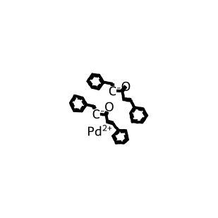 O=C([C-]=Cc1ccccc1)C=Cc1ccccc1.O=C([C-]=Cc1ccccc1)C=Cc1ccccc1.[Pd+2]